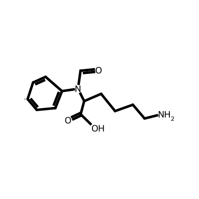 NCCCCC(C(=O)O)N(C=O)c1cc[c]cc1